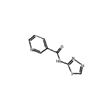 O=C(Nc1nncs1)c1cccnc1